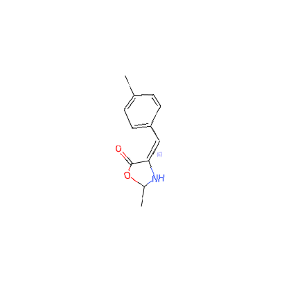 Cc1ccc(/C=C2/NC(C)OC2=O)cc1